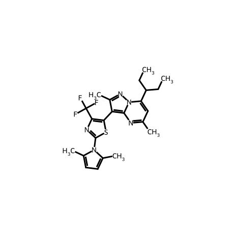 CCC(CC)c1cc(C)nc2c(-c3sc(-n4c(C)ccc4C)nc3C(F)(F)F)c(C)nn12